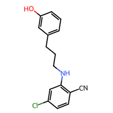 N#Cc1ccc(Cl)cc1NCCCc1cccc(O)c1